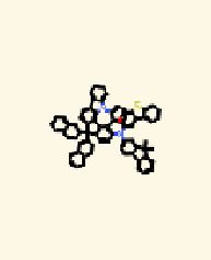 CC1(C)c2ccccc2-c2ccc(N(c3ccc4sc5ccccc5c4c3)c3ccc4c5c3-c3ccccc3-n3c6ccccc6c6ccc(c-5c63)C4(c3ccc4ccccc4c3)c3ccc4ccccc4c3)cc21